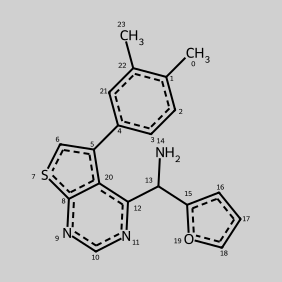 Cc1ccc(-c2csc3ncnc(C(N)c4ccco4)c23)cc1C